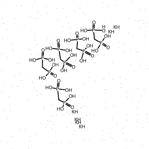 O=P(O)(O)CP(=O)(O)O.O=P(O)(O)CP(=O)(O)O.O=P(O)(O)CP(=O)(O)O.O=P(O)(O)CP(=O)(O)O.O=P(O)(O)CP(=O)(O)O.[KH].[KH].[KH].[KH].[KH].[KH]